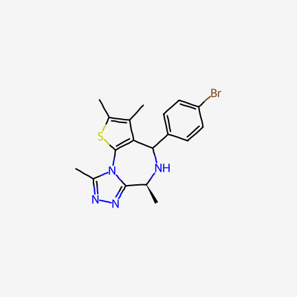 Cc1sc2c(c1C)C(c1ccc(Br)cc1)N[C@@H](C)c1nnc(C)n1-2